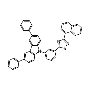 c1ccc(-c2ccc3c(c2)c2cc(-c4ccccc4)ccc2n3-c2cccc(-c3nc(-c4cccc5ccccc45)ns3)c2)cc1